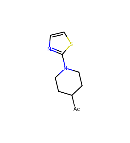 CC(=O)C1CCN(c2nccs2)CC1